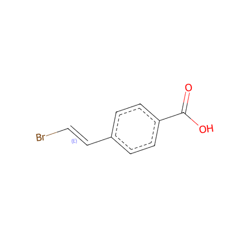 O=C(O)c1ccc(/C=C/Br)cc1